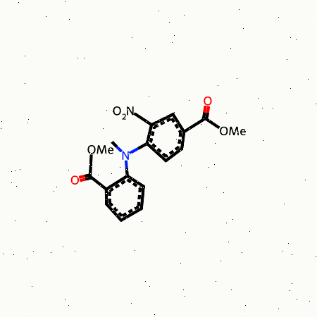 COC(=O)c1ccc(N(C)c2ccccc2C(=O)OC)c([N+](=O)[O-])c1